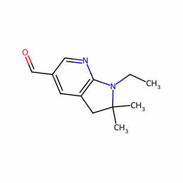 CCN1c2ncc(C=O)cc2CC1(C)C